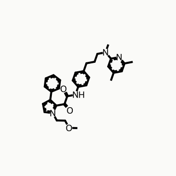 COCCn1ccc(-c2ccccc2)c1C(=O)C(=O)Nc1ccc(CCCN(C)c2cc(C)cc(C)n2)cc1